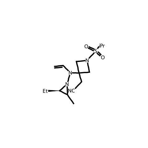 C=CN(N1C(C)[C@H]1CC)C1(CC#N)CN(S(=O)(=O)C(C)C)C1